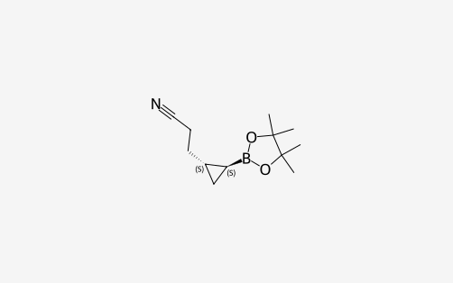 CC1(C)OB([C@H]2C[C@@H]2CCC#N)OC1(C)C